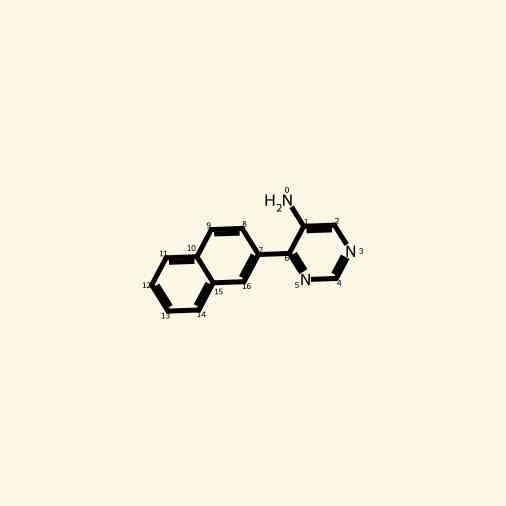 Nc1cncnc1-c1ccc2ccccc2c1